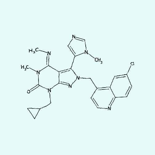 CN=c1c2c(-c3cncn3C)n(Cc3ccnc4ccc(Cl)cc34)nc2n(CC2CC2)c(=O)n1C